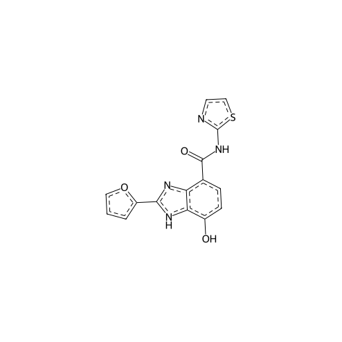 O=C(Nc1nccs1)c1ccc(O)c2[nH]c(-c3ccco3)nc12